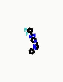 Fc1cccc(-c2nc3ccn(Cc4ccn(-c5ccccc5)n4)cc-3n2)c1F